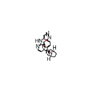 Cn1cc(Nc2nccc(N3C[C@H]4CC[C@@H](C3)N4Cc3ccccc3)n2)cn1